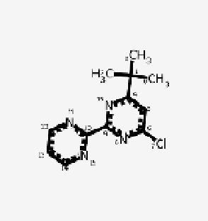 CC(C)(C)c1cc(Cl)nc(-c2ncccn2)n1